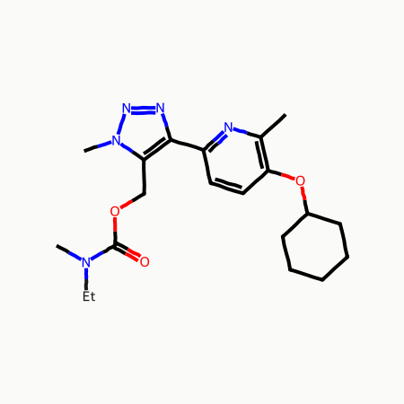 CCN(C)C(=O)OCc1c(-c2ccc(OC3CCCCC3)c(C)n2)nnn1C